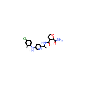 CC(NC(=O)[C]1CCOC1C(N)=O)c1ccc(Nc2ccc(Cl)cc2C(F)(F)F)cn1